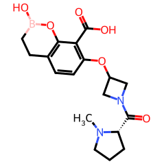 CN1CCC[C@H]1C(=O)N1CC(Oc2ccc3c(c2C(=O)O)OB(O)CC3)C1